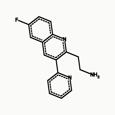 NCCc1nc2ccc(F)cc2cc1-c1ccccn1